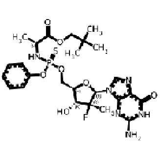 C[C@H](NP(=S)(OC[C@H]1O[C@@H](n2cnc3c(=O)[nH]c(N)nc32)[C@](C)(F)[C@@H]1O)Oc1ccccc1)C(=O)OCC(C)(C)C